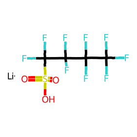 O=S(=O)(O)C(F)(F)C(F)(F)C(F)(F)C(F)(F)F.[Li]